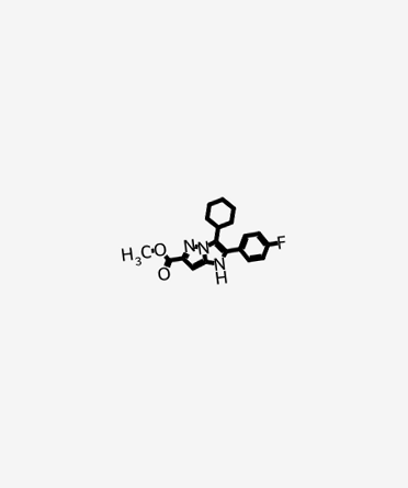 COC(=O)c1cc2[nH]c(-c3ccc(F)cc3)c(C3CCCCC3)n2n1